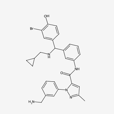 Cc1cc(C(=O)Nc2cccc(C(NCC3CC3)c3ccc(O)c(Br)c3)c2)n(-c2cccc(CN)c2)n1